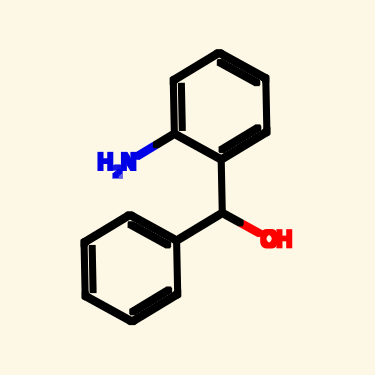 Nc1ccccc1C(O)c1ccccc1